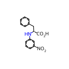 O=C(O)[C@H](Cc1ccccc1)Nc1cccc([N+](=O)[O-])c1